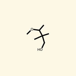 COC(C)C(C)(C)CO